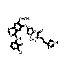 COc1cc2ncnc(Nc3cccc(Cl)c3F)c2cc1O[C@H]1C[C@H](C(=O)NCCc2c[nH]cn2)N(C)C1